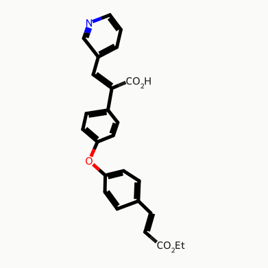 CCOC(=O)C=Cc1ccc(Oc2ccc(C(=Cc3cccnc3)C(=O)O)cc2)cc1